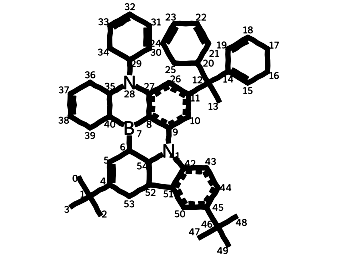 CC(C)(C)C1=CC2B3c4c(cc(C(C)(C5=CCCC=C5)C5C=CC=CC5)cc4N(C4C=CC=CC4)C4CC=CCC34)N3c4ccc(C(C)(C)C)cc4C(C1)C23